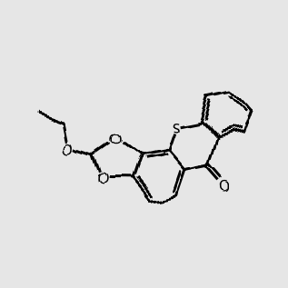 CCOC1Oc2ccc3c(=O)c4ccccc4sc3c2O1